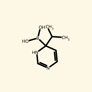 CC(C)C1(B(O)O)C=CN=CN1